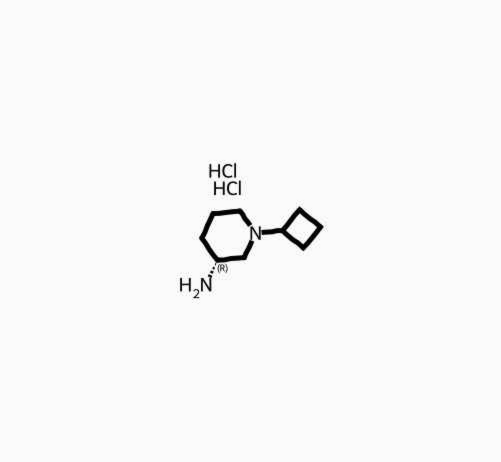 Cl.Cl.N[C@@H]1CCCN(C2CCC2)C1